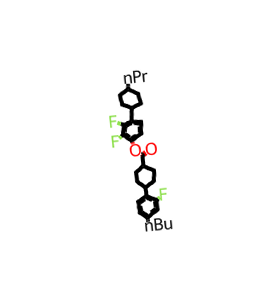 CCCCc1ccc(C2CCC(C(=O)Oc3ccc(C4CCC(CCC)CC4)c(F)c3F)CC2)c(F)c1